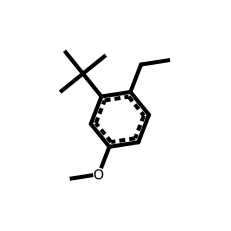 CCc1ccc(OC)cc1C(C)(C)C